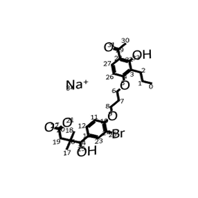 CCCc1c(OCCCOc2ccc(C(O)C(C)(C)CC(=O)[O-])cc2Br)ccc(C(C)=O)c1O.[Na+]